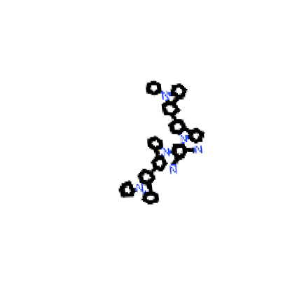 N#Cc1cc(C#N)c(-n2c3ccccc3c3cc(-c4ccc5c(c4)c4ccccc4n5-c4ccccc4)ccc32)cc1-n1c2ccccc2c2cc(-c3ccc4c(c3)c3ccccc3n4-c3ccccc3)ccc21